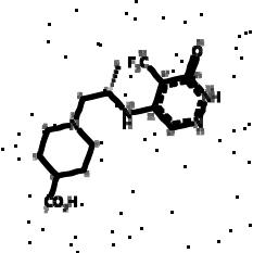 C[C@@H](CN1CCC(C(=O)O)CC1)Nc1cn[nH]c(=O)c1C(F)(F)F